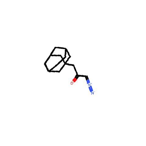 [N-]=[N+]=CC(=O)CC12CC3CC(CC(C3)C1)C2